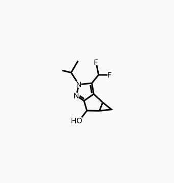 CC(C)n1nc2c(c1C(F)F)C1CC1C2O